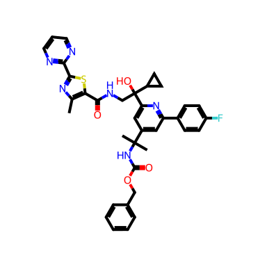 Cc1nc(-c2ncccn2)sc1C(=O)NCC(O)(c1cc(C(C)(C)NC(=O)OCc2ccccc2)cc(-c2ccc(F)cc2)n1)C1CC1